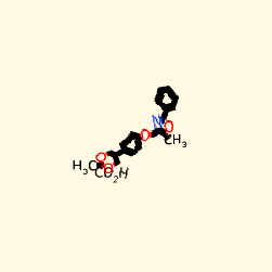 Cc1oc(-c2ccccc2)nc1COc1ccc(C2COC(C)(C(=O)O)OC2)cc1